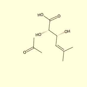 CC(C)=C[C@@H](O)[C@H](O)C(=O)O.CC(C)=O